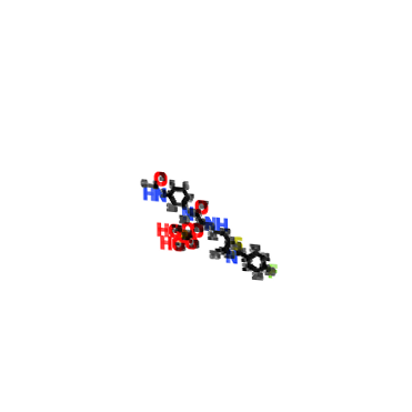 CC(=O)Nc1cccc(N(COP(=O)(O)O)C(=O)C(=O)NCCc2sc(-c3ccc(F)cc3)nc2C)c1